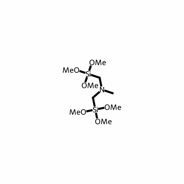 CO[Si](CN(C)C[Si](OC)(OC)OC)(OC)OC